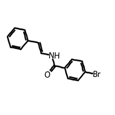 O=C(NC=Cc1ccccc1)c1ccc(Br)cc1